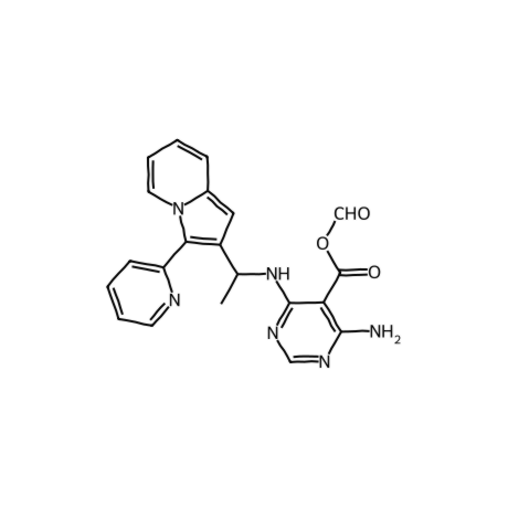 CC(Nc1ncnc(N)c1C(=O)OC=O)c1cc2ccccn2c1-c1ccccn1